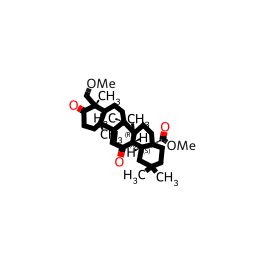 COC[C@]1(C)C(=O)CC[C@]2(C)C3=CC(=O)[C@@H]4[C@@H]5CC(C)(C)CC[C@]5(C(=O)OC)CC[C@@]4(C)[C@]3(C)CCC12